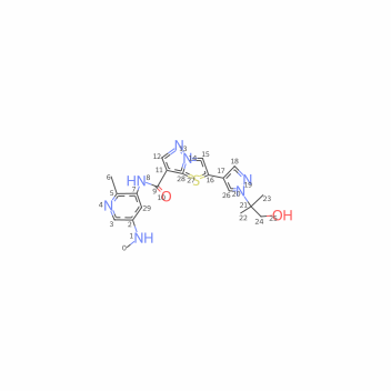 CNc1cnc(C)c(NC(=O)c2cnn3cc(-c4cnn(C(C)(C)CO)c4)sc23)c1